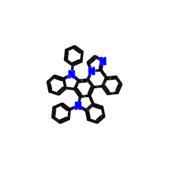 c1ccc(-n2c3ccccc3c3c4c5ccccc5c5nccn5c4c4c(c5ccccc5n4-c4ccccc4)c32)cc1